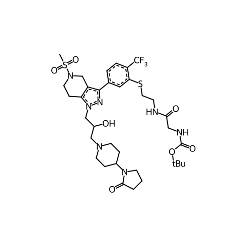 CC(C)(C)OC(=O)NCC(=O)NCCSc1cc(-c2nn(CC(O)CN3CCC(N4CCCC4=O)CC3)c3c2CN(S(C)(=O)=O)CC3)ccc1C(F)(F)F